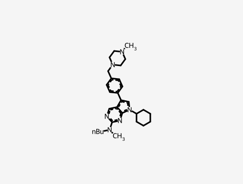 CCCCN(C)c1ncc2c(-c3ccc(CN4CCN(C)CC4)cc3)cn(C3CCCCC3)c2n1